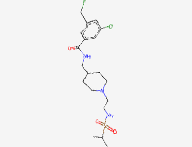 CC(C)S(=O)(=O)NCCN1CCC(CNC(=O)c2cc(Cl)cc(CF)c2)CC1